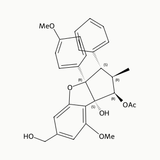 COc1ccc([C@@]23Oc4cc(CO)cc(OC)c4[C@]2(O)[C@H](OC(C)=O)[C@H](C)[C@H]3c2ccccc2)cc1